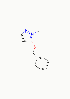 Cn1nc[c]c1OCc1ccccc1